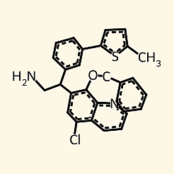 Cc1ccc(-c2cccc(C(CN)c3cc(Cl)c4cccnc4c3OCc3ccccc3)c2)s1